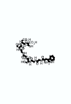 N[C@@H](Cc1c[nH]c2ccccc12)C(=O)NCC(=O)NCC(=O)N[C@@H](CO)C(=O)NCC(=O)NCC(=O)N[C@@H](CO)C(=O)N[C@@H](CC(=O)O)C(=O)N[C@@H](CS)C(=O)O